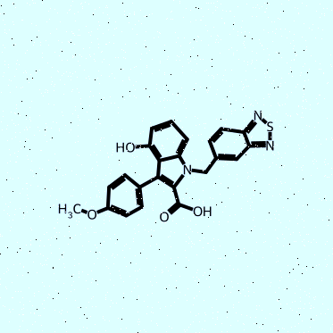 COc1ccc(-c2c(C(=O)O)n(Cc3ccc4nsnc4c3)c3cccc(O)c23)cc1